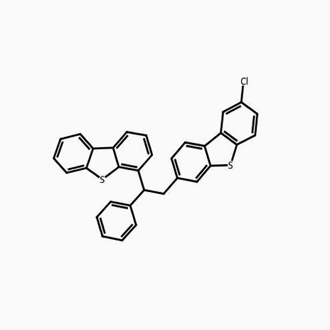 Clc1ccc2sc3cc(CC(c4ccccc4)c4cccc5c4sc4ccccc45)ccc3c2c1